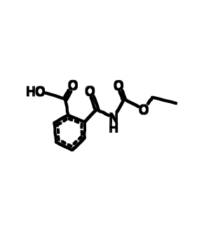 CCOC(=O)NC(=O)c1ccccc1C(=O)O